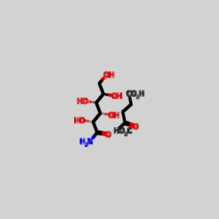 NC(=O)[C@H](O)[C@@H](O)[C@H](O)[C@H](O)CO.O=C(O)CCC(=O)C(=O)O